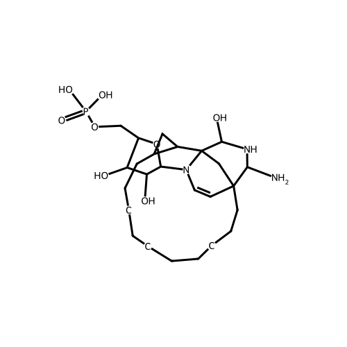 NC1NC(O)C23CC1(C=CN2C1OC(COP(=O)(O)O)C(O)C1O)CCCCCCCCCCC1CC13